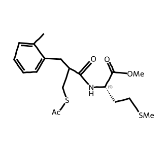 COC(=O)[C@H](CCSC)NC(=O)C(CSC(C)=O)Cc1ccccc1C